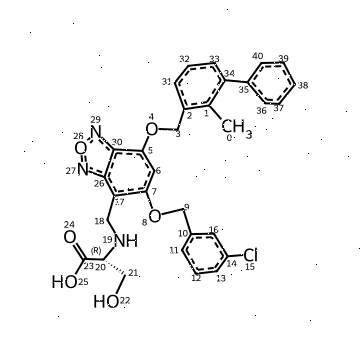 Cc1c(COc2cc(OCc3cccc(Cl)c3)c(CN[C@H](CO)C(=O)O)c3nonc23)cccc1-c1ccccc1